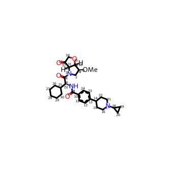 CO[C@H]1CN(C(=O)[C@@H](NC(=O)c2ccc(C3CCN(C4CC4)CC3)cc2)C2CCCCC2)[C@@H]2C(=O)CO[C@H]12